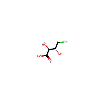 O=C(O)[C@@H](O)[C@@H](O)CCl